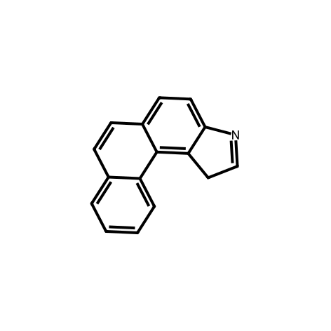 C1=Nc2ccc3ccc4ccccc4c3c2C1